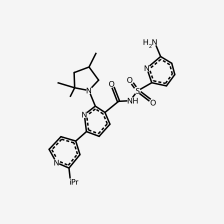 CC1CN(c2nc(-c3ccnc(C(C)C)c3)ccc2C(=O)NS(=O)(=O)c2cccc(N)n2)C(C)(C)C1